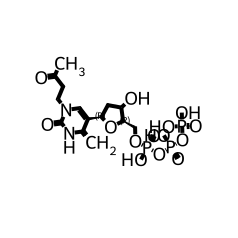 C=C1NC(=O)N(CCC(C)=O)C=C1[C@H]1CC(O)[C@@H](COP(=O)(O)OP(=O)(O)OP(=O)(O)O)O1